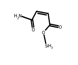 NC(=O)/C=C\C(=O)O[SiH3]